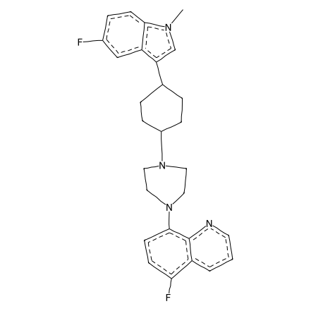 Cn1cc(C2CCC(N3CCN(c4ccc(F)c5cccnc45)CC3)CC2)c2cc(F)ccc21